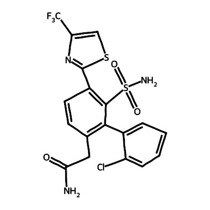 NC(=O)Cc1ccc(-c2nc(C(F)(F)F)cs2)c(S(N)(=O)=O)c1-c1ccccc1Cl